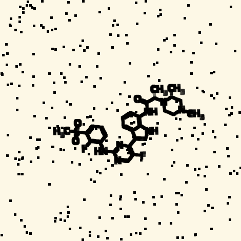 C[C@@H]1CN(C)CCN1[C@@H](C)C(=O)Nc1cccc2c(-c3nc(Nc4cccc(S(C)(=O)=O)c4F)ncc3F)c[nH]c12